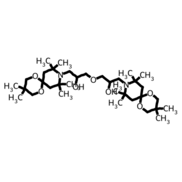 CC1(C)COC2(CC(C)(C)N(CC(O)COCC(O)CN3C(C)(C)CC4(CC3(C)C)OCC(C)(C)CO4)C(C)(C)C2)OC1